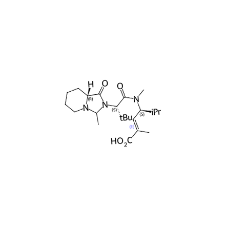 C/C(=C\[C@H](C(C)C)N(C)C(=O)[C@@H](N1C(=O)[C@H]2CCCCN2C1C)C(C)(C)C)C(=O)O